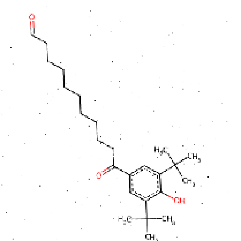 CC(C)(C)c1cc(C(=O)CCCCCCCCCC=O)cc(C(C)(C)C)c1O